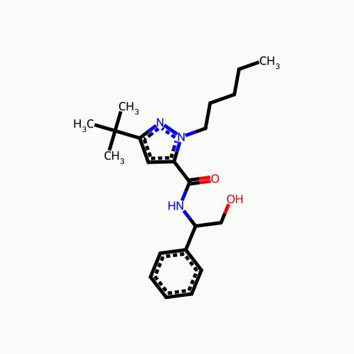 CCCCCn1nc(C(C)(C)C)cc1C(=O)NC(CO)c1ccccc1